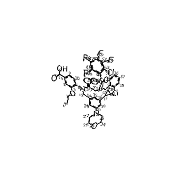 CCOc1cc(C(=O)O)ccc1N(Cc1cc(C2CC2)cc(N2CCOCC2)c1)C(=O)CN(Cc1ccccc1Cl)S(=O)(=O)c1c(F)c(F)c(F)c(F)c1Cl